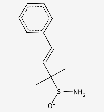 CC(C)(C=Cc1ccccc1)[S+](N)[O-]